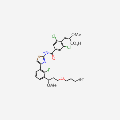 COC(=Cc1c(Cl)cc(C(=O)Nc2nc(-c3cccc(C(CCOCCCC(C)C)OC)c3F)cs2)cc1Cl)C(=O)O